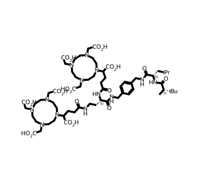 CCC(C)[C@H](C)C(=O)N[C@@H](CC(C)C)C(=O)NCc1ccc(CNC(=O)[C@H](CCNC(=O)CCC(C(=O)O)N2CCN(CC(=O)O)CCN(CC(=O)O)CCN(CC(=O)O)CC2)NC(=O)CCC(C(=O)O)N2CCN(CC(=O)O)CCN(CC(=O)O)CCN(CC(=O)O)CC2)cc1